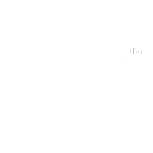 CC=CCCCCCCCCCOC(C)(C)C